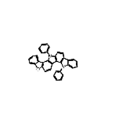 c1ccc(-n2c3ccccc3c3ccc4c(c5ccc6oc7ccccc7c6c5n4-c4ccccc4)c32)cc1